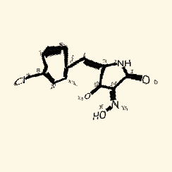 O=C1NC(=Cc2ccc(Cl)cc2)C(=O)C1=NO